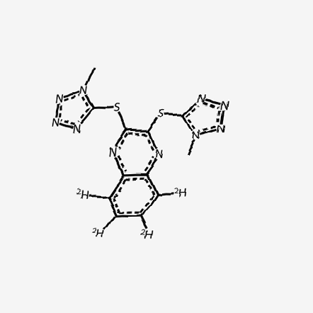 [2H]c1c([2H])c([2H])c2nc(Sc3nnnn3C)c(Sc3nnnn3C)nc2c1[2H]